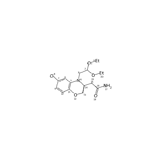 CCOC(CN1c2cc(Cl)ccc2OCC1CC(N)=O)OCC